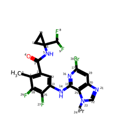 Cc1c(C(=O)NC2(C(F)F)CC2)cc(Nc2nc(Br)cc3ncn(C(C)C)c23)c(F)c1F